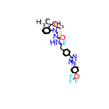 CC(C)c1ccccc1N1C(=O)CS/C1=N\C(=O)NC(F)Cc1ccc(-c2ncn(-c3ccc(OC(F)(F)F)cc3)n2)cc1